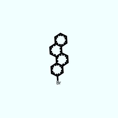 Brc1ccc2c(ccc3c4ccccc4ccc23)c1